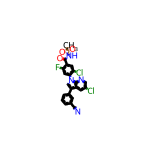 CS(=O)(=O)NC(=O)c1cc(Cl)c(-n2cc(-c3cccc(C#N)c3)c3cc(Cl)cnc32)cc1F